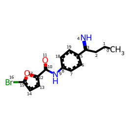 C[CH]CC(=N)c1ccc(NC(=O)c2ccc(Br)o2)cc1